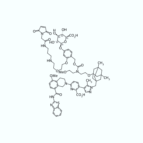 COCCN(CCOC12CC3(C)CC(C)(CC(Cn4ncc(-c5ccc(N6CCc7c(OC)ccc(C(=O)Nc8nc9ccccc9s8)c7C6)nc5C(=O)O)c4C)(C3)C1)C2)C(=O)OCc1ccc(O[C@@H]2O[C@H](C(=O)O)[C@@H](O)[C@H](O)[C@H]2O)cc1OCCOCCNCCCNC(=O)CN1C(=O)C=CC1=O